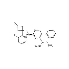 COC(CN)c1nc(NCC2(c3ncccc3F)CC(F)C2)ncc1-c1ccccc1